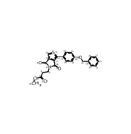 COC(=O)CCN1C(=O)c2csc(-c3ccc(OCc4ccccc4)cc3)c2C1=O